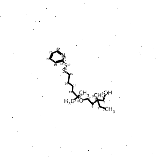 CCC(C)(CO)CCOC(C)(C)CCCCSSc1ccccn1